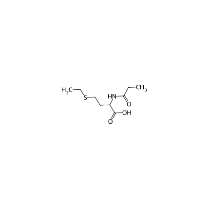 CCSCCC(NC(=O)CC)C(=O)O